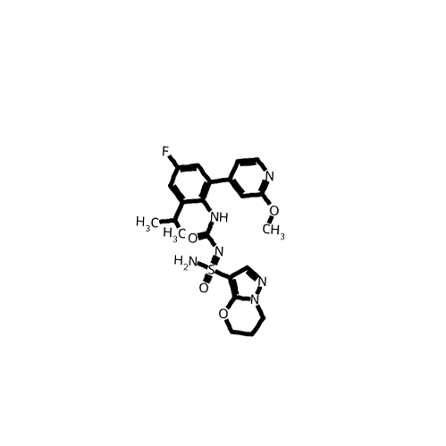 COc1cc(-c2cc(F)cc(C(C)C)c2NC(=O)N=S(N)(=O)c2cnn3c2OCCC3)ccn1